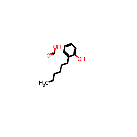 CCCCCCc1ccccc1O.O=CO